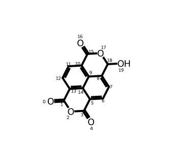 O=C1OC(=O)c2ccc3c4c(ccc1c24)C(=O)OC3O